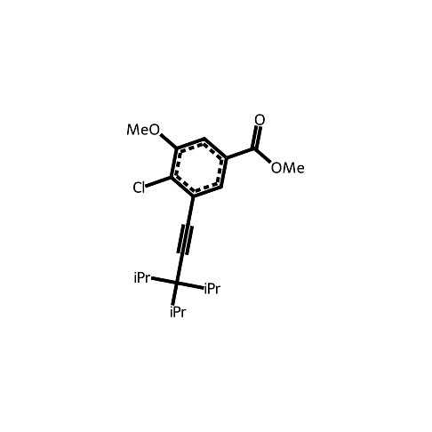 COC(=O)c1cc(C#CC(C(C)C)(C(C)C)C(C)C)c(Cl)c(OC)c1